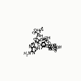 CSCC[C@H](NC[C@H]1O[C@@H](n2cnc3c(N)ncnc32)[C@H](O)[C@@H]1O)C(=O)O.Cc1ccc(S(=O)(=O)O)cc1.O=S(=O)(O)O.O=S(=O)(O)O